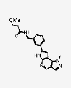 COCCC(=O)NCc1cccc(-c2cc3c(ncc4cnn(C)c43)[nH]2)c1